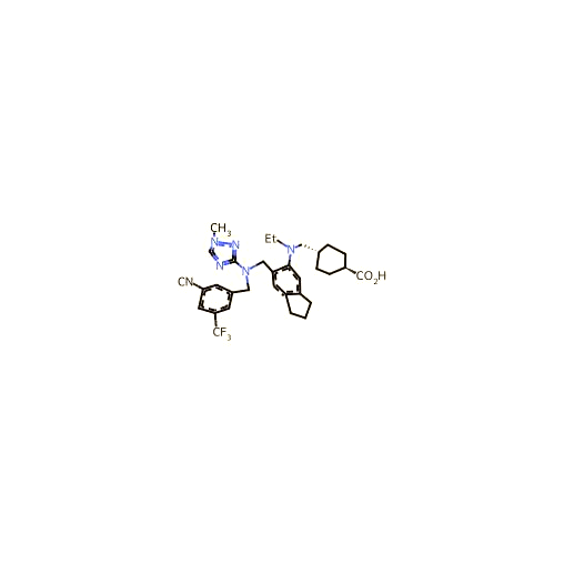 [C-]#[N+]c1cc(CN(Cc2cc3c(cc2N(CC)C[C@H]2CC[C@H](C(=O)O)CC2)CCC3)c2ncn(C)n2)cc(C(F)(F)F)c1